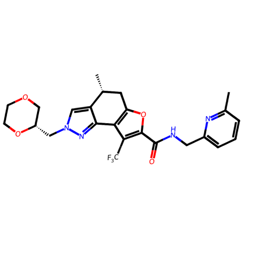 Cc1cccc(CNC(=O)c2oc3c(c2C(F)(F)F)-c2nn(C[C@H]4COCCO4)cc2[C@H](C)C3)n1